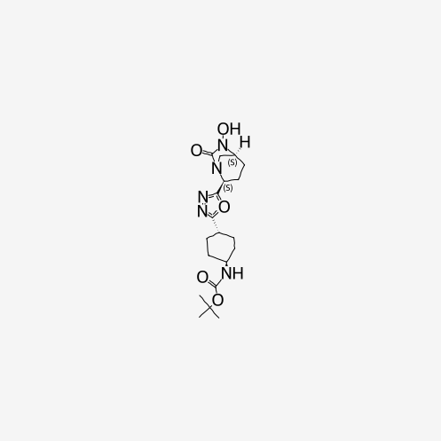 CC(C)(C)OC(=O)N[C@H]1CC[C@H](c2nnc([C@@H]3CC[C@H]4CN3C(=O)N4O)o2)CC1